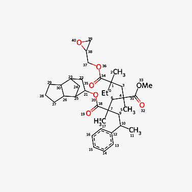 CCC(C)(CC(C)(CC(C)(CC(C)c1ccccc1)C(=O)OC1CC2CC1C1CCCC21)C(=O)OC)C(=O)OCC1CO1